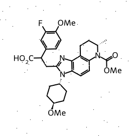 COC(=O)N1c2ccc3c(nc(CC(C(=O)O)c4ccc(OC)c(F)c4)n3[C@H]3CC[C@H](OC)CC3)c2CC[C@@H]1C